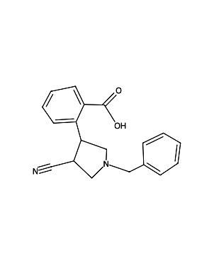 N#CC1CN(Cc2ccccc2)CC1c1ccccc1C(=O)O